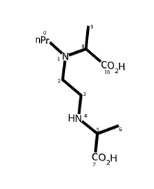 CCCN(CCNC(C)C(=O)O)C(C)C(=O)O